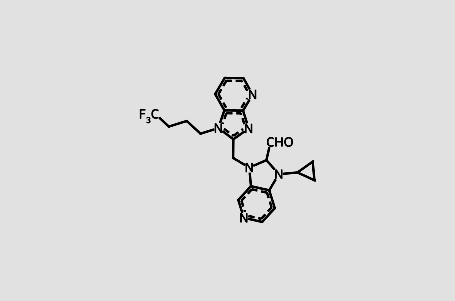 O=CC1N(Cc2nc3ncccc3n2CCCC(F)(F)F)c2cnccc2N1C1CC1